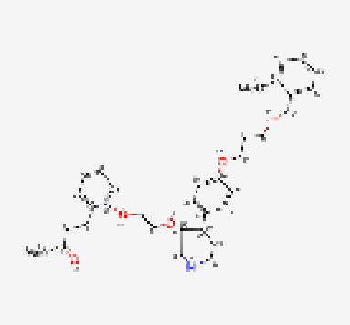 CNC(=O)CCc1ccccc1OCCO[C@H]1CNCC[C@@H]1c1ccc(OCCCOCc2ccccc2OC)cc1